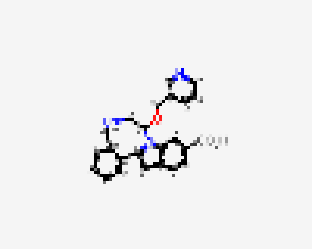 O=C(O)c1ccc2cc3n(c2c1)C(OCc1cccnc1)CNCc1ccccc1-3